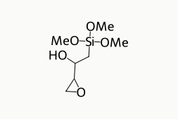 CO[Si](CC(O)C1CO1)(OC)OC